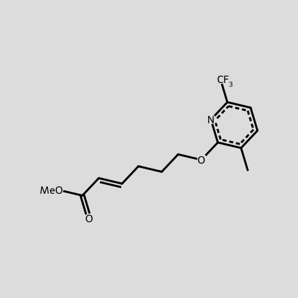 COC(=O)/C=C/CCCOc1nc(C(F)(F)F)ccc1C